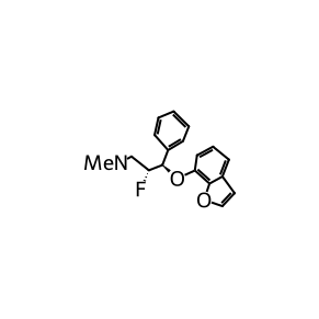 CNC[C@@H](F)[C@H](Oc1cccc2ccoc12)c1ccccc1